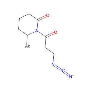 CC(=O)C1CCCC(=O)N1C(=O)CCN=[N+]=[N-]